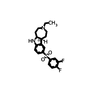 CCN1CCC2Nc3ccc(S(=O)(=O)c4ccc(F)c(F)c4)cc3[C@@H]2CC1